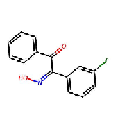 O=C(C(=NO)c1cccc(F)c1)c1ccccc1